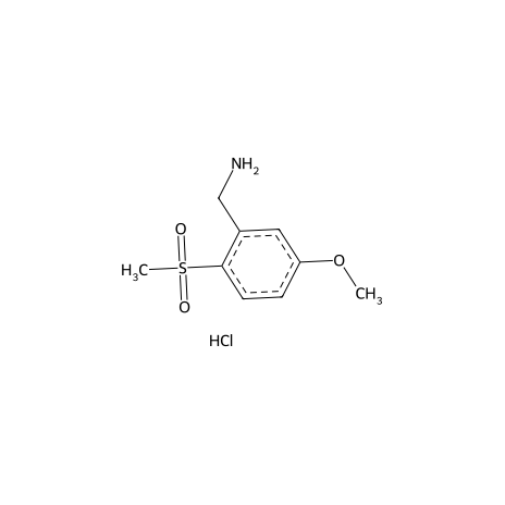 COc1ccc(S(C)(=O)=O)c(CN)c1.Cl